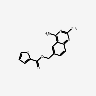 Nc1nc(N)c2cc(COC(=O)c3ccco3)ccc2n1